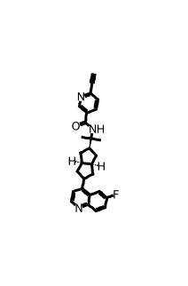 C#Cc1ccc(C(=O)NC(C)(C)[C@H]2C[C@H]3CC(c4ccnc5ccc(F)cc45)C[C@H]3C2)cn1